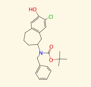 CC(C)(C)OC(=O)N(Cc1ccccc1)C1CCCc2cc(O)c(Cl)cc2C1